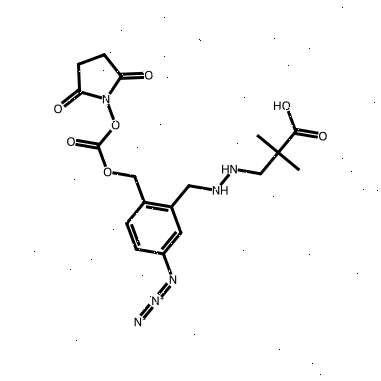 CC(C)(CNNCc1cc(N=[N+]=[N-])ccc1COC(=O)ON1C(=O)CCC1=O)C(=O)O